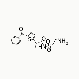 CC(C(=O)NS(=O)(=O)CCN)c1ccc(C(=O)c2ccccc2)s1